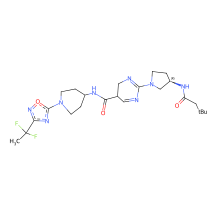 CC(C)(C)CC(=O)N[C@@H]1CCN(C2=NCC(C(=O)NC3CCN(c4nc(C(C)(F)F)no4)CC3)C=N2)C1